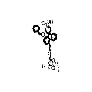 CC(C)(C)OC(=O)CCOCCCc1ccc(OCc2ccccc2)c(C2(c3ccccc3)CCN(C(=O)O)CC2)c1